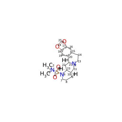 CN(C)S(=O)(=O)N1CCC[C@@H]2CN3CCc4cc5c(cc4[C@@H]3C[C@@H]21)OCO5